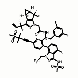 C=CC(F)(F)c1nn(CC(=O)N[C@@H](Cc2cc(F)cc(F)c2)c2nc(C#CC(C)(C)S(C)(=O)=O)ccc2-c2ccc(Cl)c3c(NS(C)(=O)=O)nn(CC(F)(F)F)c23)c2c1[C@H]1C[C@H]1C2(F)F